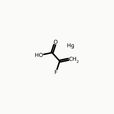 C=C(F)C(=O)O.[Hg]